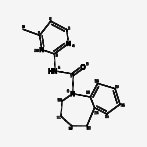 Cc1ccnc(NC(=O)N2CCCCc3ccccc32)n1